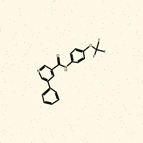 O=C(Nc1ccc(OC(F)(F)F)cc1)c1cncc(-c2ccccc2)c1